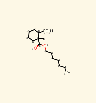 CC(C)CCCCCCOC(=O)C1(C)CCCCC1C(=O)O